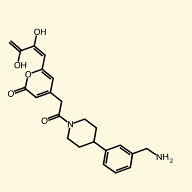 C=C(O)/C(O)=C\c1cc(CC(=O)N2CCC(c3cccc(CN)c3)CC2)cc(=O)o1